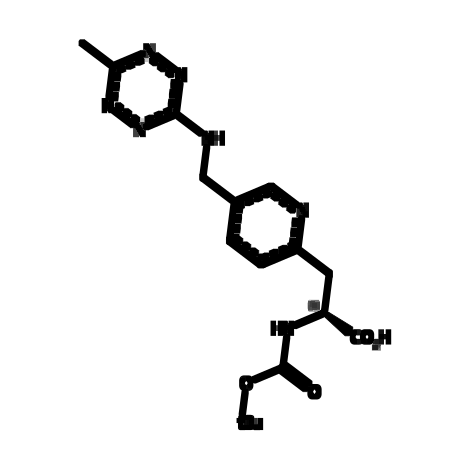 Cc1nnc(NCc2ccc(C[C@H](NC(=O)OC(C)(C)C)C(=O)O)nc2)nn1